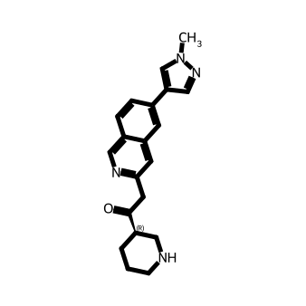 Cn1cc(-c2ccc3cnc(CC(=O)[C@@H]4CCCNC4)cc3c2)cn1